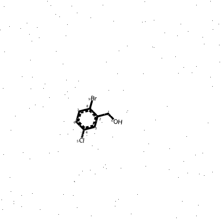 O[CH]c1cc(Cl)ccc1Br